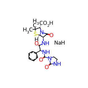 CC1(C)S[C@@H]2[C@H](NC(=O)C(NC(=O)N3CCNC3=O)c3ccccc3)C(=O)N2[C@H]1C(=O)O.[NaH]